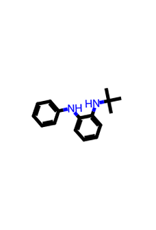 CC(C)(C)Nc1ccccc1Nc1ccccc1